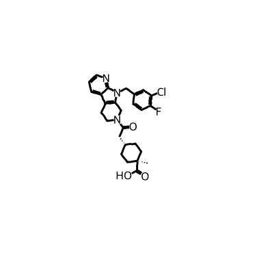 C[C@]1(C(=O)O)CC[C@H](CC(=O)N2CCc3c(n(Cc4ccc(F)c(Cl)c4)c4ncccc34)C2)CC1